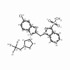 CS(=O)(=O)c1nn(Cc2nc3cc(Cl)ccc3n2[C@@H]2CCN(CC(F)(F)F)C2)c2cnccc12